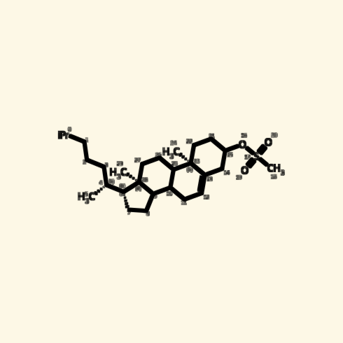 CC(C)CCC[C@@H](C)[C@H]1CCC2C3CC=C4CC(OS(C)(=O)=O)CC[C@]4(C)C3CC[C@@]21C